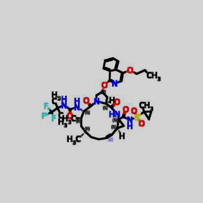 CCCOc1cnc(O[C@@H]2C[C@H]3C(=O)N[C@]4(C(=O)NS(=O)(=O)C5(C)CC5)C[C@H]4/C=C\CC[C@H](C)C[C@@H](C)[C@H](NC(=O)NC(C)(C)C(F)(F)F)C(=O)N3C2)c2ccccc12